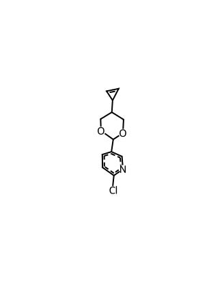 Clc1ccc(C2OCC(C3C=C3)CO2)cn1